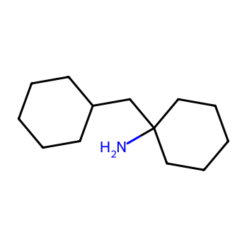 NC1(CC2CCCCC2)CCCCC1